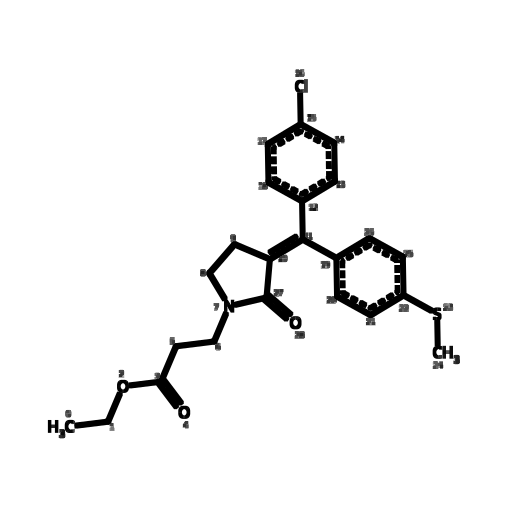 CCOC(=O)CCN1CC/C(=C(\c2ccc(Cl)cc2)c2ccc(SC)cc2)C1=O